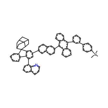 C[Si](C)(C)c1ccc(-c2cccc(-c3c4ccccc4c(-c4ccc5cc(-c6cc(-c7cccc8cccnc78)c7c(c6)C6(c8ccccc8-7)C7CC8CC(C7)CC6C8)ccc5c4)c4ccccc34)c2)cc1